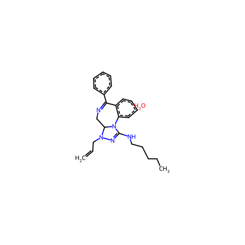 C=CCN1N=C(NCCCCC)N2c3ccccc3C(c3ccccc3)=NCC12.O